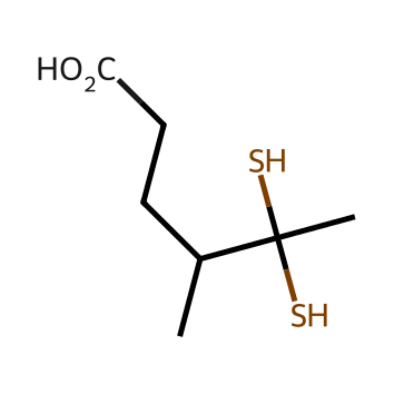 CC(CCC(=O)O)C(C)(S)S